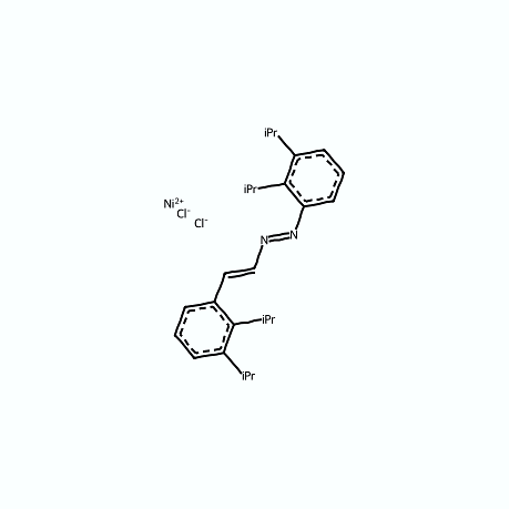 CC(C)c1cccc(C=CN=Nc2cccc(C(C)C)c2C(C)C)c1C(C)C.[Cl-].[Cl-].[Ni+2]